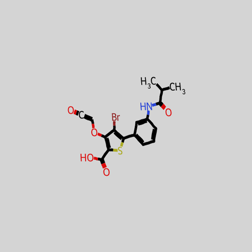 CC(C)C(=O)Nc1cccc(-c2sc(C(=O)O)c(OC=C=O)c2Br)c1